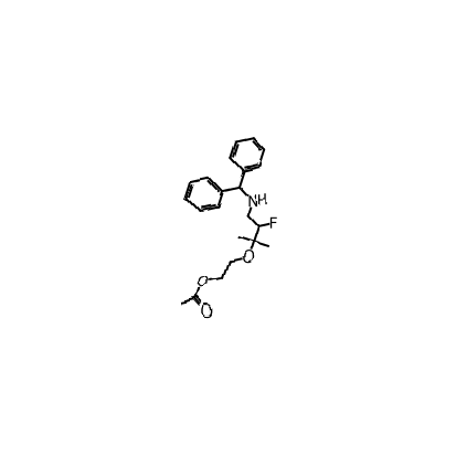 CC(=O)OCCOC(C)(C)C(F)CNC(c1ccccc1)c1ccccc1